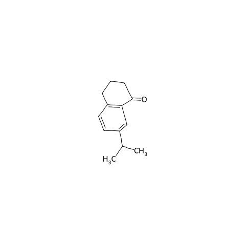 CC(C)c1ccc2c(c1)C(=O)CCC2